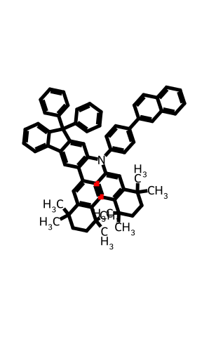 CC1(C)CCC(C)(C)c2cc(-c3cc4c(cc3N(c3ccc(-c5ccc6ccccc6c5)cc3)c3ccc5c(c3)C(C)(C)CCC5(C)C)C(c3ccccc3)(c3ccccc3)c3ccccc3-4)ccc21